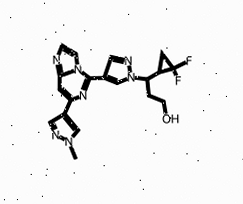 Cn1cc(-c2cc3nccn3c(-c3cnn(C(CCO)C4CC4(F)F)c3)n2)cn1